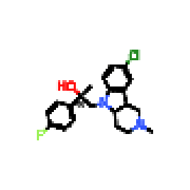 CN1CCC2C(C1)c1cc(Cl)ccc1N2C[C@@](C)(O)c1ccc(F)cc1